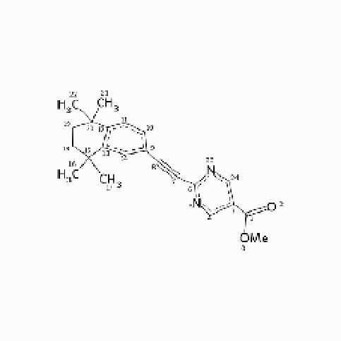 COC(=O)c1cnc(C#Cc2ccc3c(c2)C(C)(C)CCC3(C)C)nc1